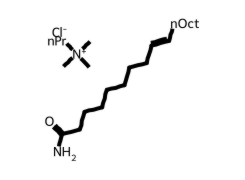 CCCCCCCCC=CCCCCCCCC(N)=O.CCC[N+](C)(C)C.[Cl-]